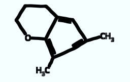 Cc1cc(C)c2c(c1)CCCO2